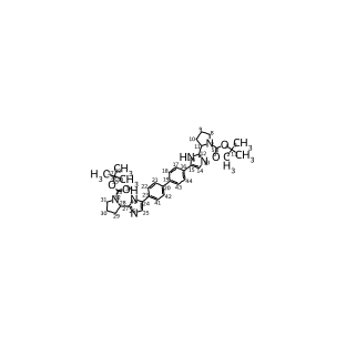 CC(C)(C)OC(=O)N1CCCC1c1ncc(-c2ccc(-c3ccc(-c4cnc(C5CCCN5C(=O)OC(C)(C)C)[nH]4)cc3)cc2)[nH]1